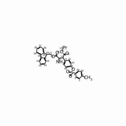 Cc1ccc(S(=O)(=O)Oc2ccc(C(C(=O)OC(C)C)C(N)C(=O)OCC3c4ccccc4-c4ccccc43)cc2)cc1